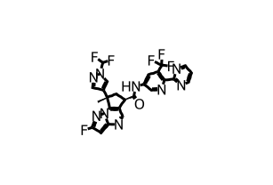 C[C@@]1(c2cnn(C(F)F)c2)C[C@@H](C(=O)Nc2cnc(-c3ncccn3)c(C(F)(F)F)c2)c2cnc3cc(F)nn3c21